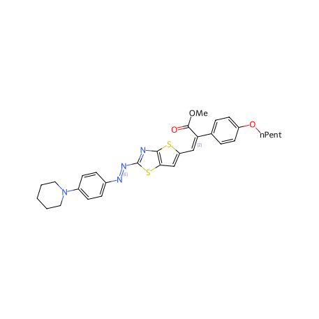 CCCCCOc1ccc(/C(=C/c2cc3sc(/N=N/c4ccc(N5CCCCC5)cc4)nc3s2)C(=O)OC)cc1